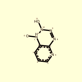 [O-][NH+]1c2cccnc2N=NN1O